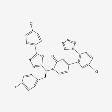 O=c1cc(-c2cc(Cl)ccc2-n2cnnn2)ccn1[C@@H](Cc1ccc(F)cc1)c1nnc(-c2ccc(Cl)cc2)o1